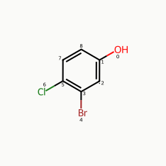 Oc1[c]c(Br)c(Cl)cc1